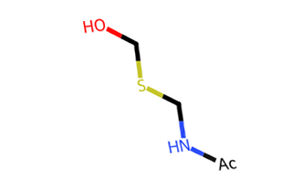 CC(=O)NCSCO